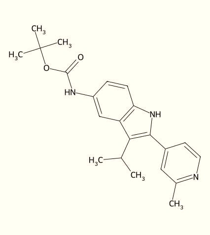 Cc1cc(-c2[nH]c3ccc(NC(=O)OC(C)(C)C)cc3c2C(C)C)ccn1